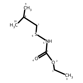 CCOC(=O)NSCC(C)C